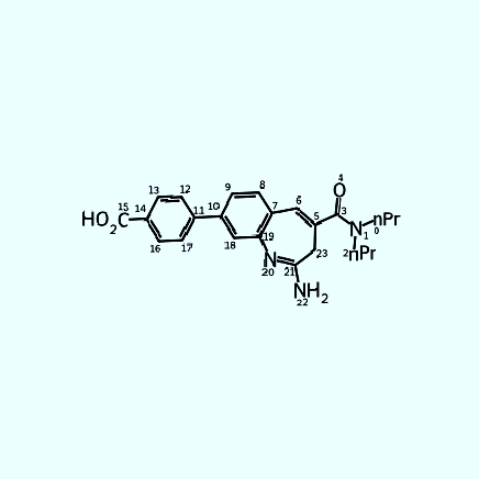 CCCN(CCC)C(=O)C1=Cc2ccc(-c3ccc(C(=O)O)cc3)cc2N=C(N)C1